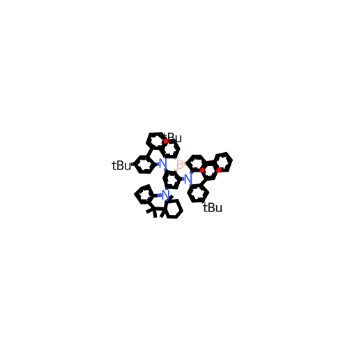 CC(C)(C)c1ccc(N2c3cc(-c4ccccc4)ccc3B3c4ccc(C(C)(C)C)cc4N(c4ccc(C(C)(C)C)cc4-c4ccccc4)c4cc(N5c6ccccc6C(C)(C)C6(C)CCCCC56C)cc2c43)c(-c2ccccc2)c1